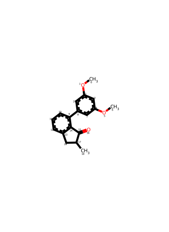 COc1cc(OC)cc(-c2cccc3c2C(=O)C(C)C3)c1